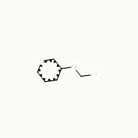 FC(F)(F)CNc1cccnc1